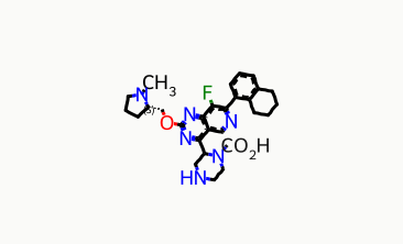 CN1CCC[C@H]1COc1nc(C2CNCCN2C(=O)O)c2cnc(-c3cccc4c3CCCC4)c(F)c2n1